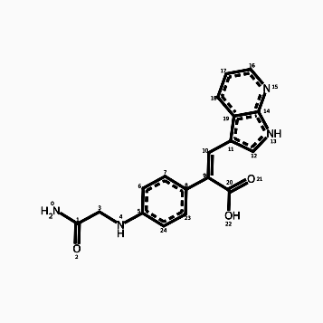 NC(=O)CNc1ccc(/C(=C/c2c[nH]c3ncccc23)C(=O)O)cc1